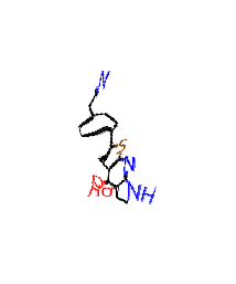 N#CCc1ccc(-c2cc3c(s2)N=C2NCC[C@@]2(O)C3=O)cc1